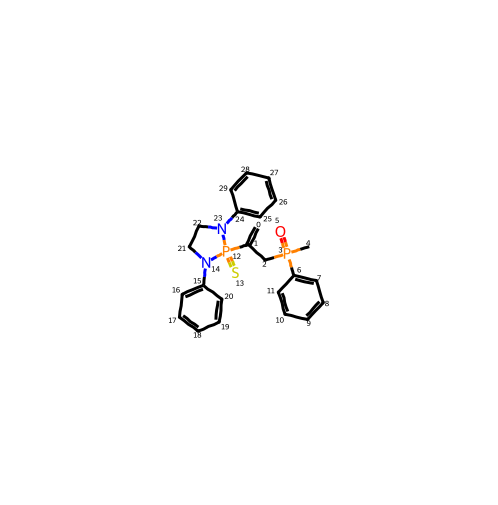 C=C(CP(C)(=O)c1ccccc1)P1(=S)N(c2ccccc2)CCN1c1ccccc1